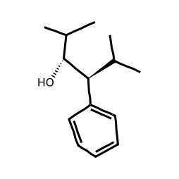 CC(C)[C@@H](O)[C@H](c1ccccc1)C(C)C